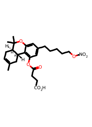 CC1=CC[C@@H]2[C@@H](C1)c1c(OC(=O)CCC(=O)O)cc(CCCCCO[N+](=O)[O-])cc1OC2(C)C